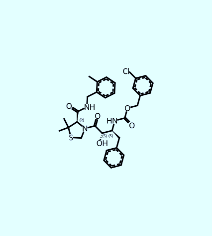 Cc1ccccc1CNC(=O)[C@H]1N(C(=O)[C@@H](O)[C@H](Cc2ccccc2)NC(=O)OCc2cccc(Cl)c2)CSC1(C)C